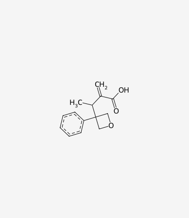 C=C(C(=O)O)C(C)C1(c2ccccc2)COC1